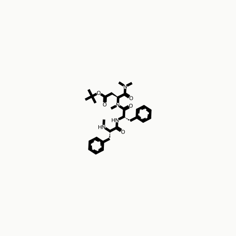 CN[C@@H](Cc1ccccc1)C(=O)N[C@@H](Cc1ccccc1)C(=O)N(C)[C@@H](CC(=O)OC(C)(C)C)C(=O)N(C)C